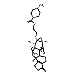 CN1CCN(C(=O)OCCC[C@]23O[C@H]2[C@@H]2O[C@]24[C@]2(O[C@H]2C[C@H]2C5=C(CC[C@@]24C)C(=O)OC5)[C@@H]3O)CC1